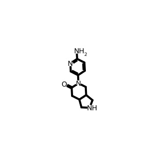 Nc1ccc(N2CC3CNCC3CC2=O)cn1